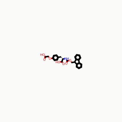 O=C(O)COc1ccc(C[C@H](NC(=O)OCC2c3ccccc3-c3ccccc32)C(=O)O)cc1